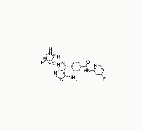 Nc1ncnc2c1c(-c1ccc(C(=O)Nc3cc(F)ccn3)cc1)nn2[C@@H]1C[C@@H]2CN[C@@H]1C2